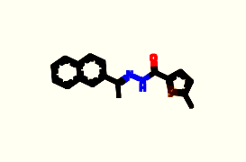 CC(=NNC(=O)c1ccc(C)s1)c1ccc2ccccc2c1